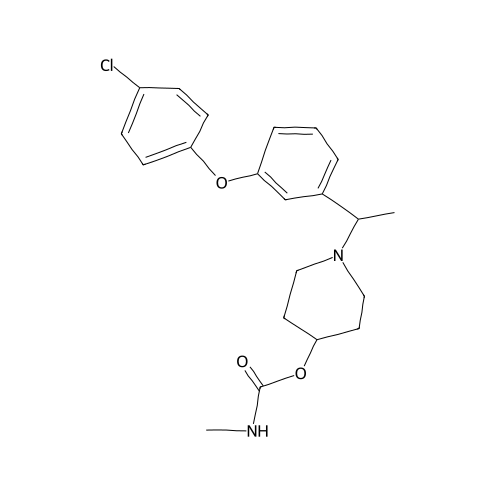 CNC(=O)OC1CCN(C(C)c2cccc(Oc3ccc(Cl)cc3)c2)CC1